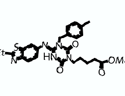 CCc1nc2ccc(/N=c3\[nH]c(=O)n(CCCCC(=O)OC)c(=O)n3Cc3ccc(C)cc3)cc2s1